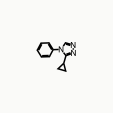 c1ccc(-n2cnnc2C2CC2)cc1